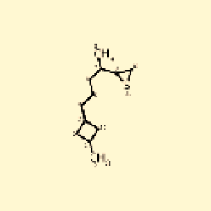 CC1CC(CCCC(C)C2CS2)C1